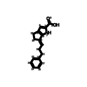 O=C(O)c1cc2c([nH]1)C(=CCCc1ccccc1)CC2